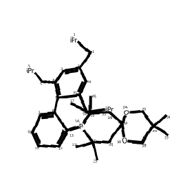 CC(C)Cc1cc(CC(C)C)c(-c2ccccc2P2C(C)(C)CC3(CC2(C)C)OCC(C)(C)CO3)c(CC(C)C)c1